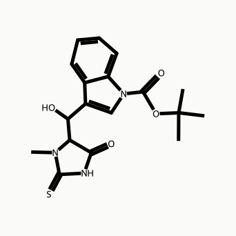 CN1C(=S)NC(=O)C1C(O)c1cn(C(=O)OC(C)(C)C)c2ccccc12